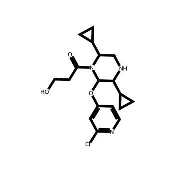 O=C(CCO)N1C(C2CC2)[CH]NC(C2CC2)C1Oc1ccnc(Cl)c1